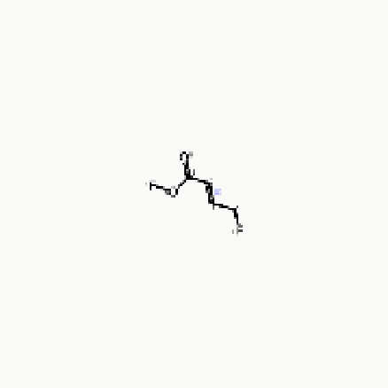 O=C(/C=C/CF)OF